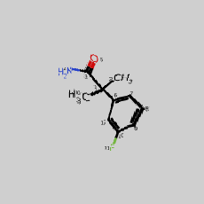 CC(C)(C(N)=O)c1cccc(F)c1